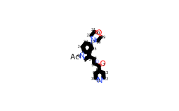 CC(=O)n1cc(/C=C/C(=O)c2ccncc2)c2cc(N3CCOCC3)ccc21